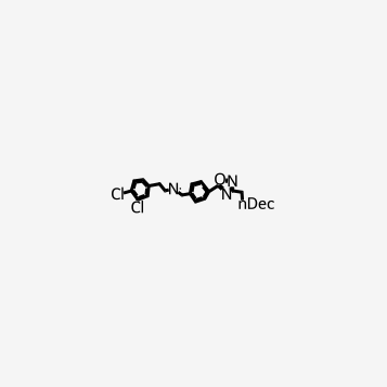 CCCCCCCCCCCc1noc(-c2ccc(C[N]CCc3ccc(Cl)c(Cl)c3)cc2)n1